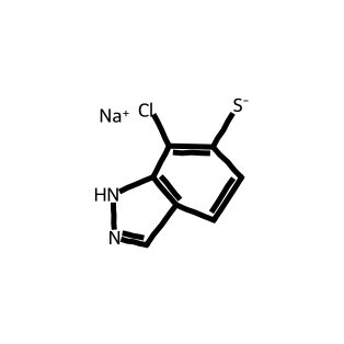 [Na+].[S-]c1ccc2cn[nH]c2c1Cl